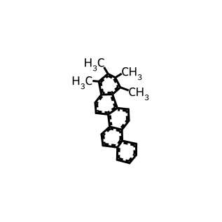 Cc1c(C)c(C)c2c(ccc3c4ccc5ccccc5c4ccc32)c1C